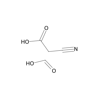 N#CCC(=O)O.O=CO